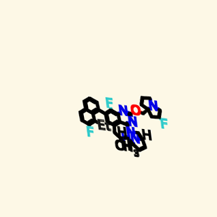 CCc1c(F)ccc2cccc(-c3cc4c5c(nc(OC[C@@]67CCCN6C[C@H](F)C7)nc5c3F)N3C[C@H]5CC[C@H](N5)[C@@H]3[C@@H](C)C4)c12